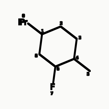 CC(C)C1CCC(C)C(F)C1